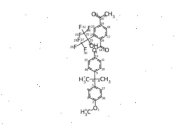 COc1ccc(C(C)(C)c2ccc(OC(=O)c3ccc(C(C)=O)cc3C(O)(C(F)(F)F)C(F)(F)F)cc2)cc1